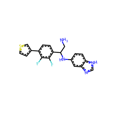 NCC(Nc1ccc2[nH]cnc2c1)c1ccc(-c2ccsc2)c(F)c1F